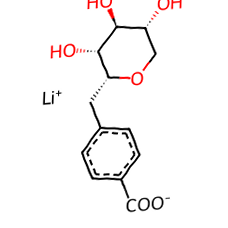 O=C([O-])c1ccc(C[C@H]2OC[C@@H](O)[C@H](O)[C@H]2O)cc1.[Li+]